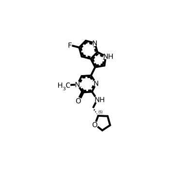 Cn1cc(-c2c[nH]c3ncc(F)cc23)nc(NC[C@@H]2CCCO2)c1=O